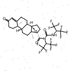 C[C@]12CC[C@H]3[C@@H](CCC4=CC(=O)CC[C@@]43C)[C@@H]1CC[C@@H]2C(=O)N(C(=O)NC(C(F)(F)F)C(F)(F)F)C(C(F)(F)F)C(F)(F)F